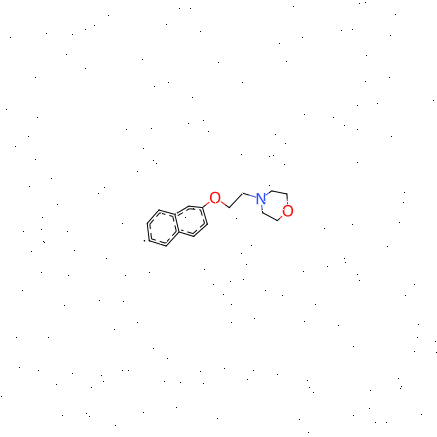 [c]1ccc2cc(OCCN3CCOCC3)ccc2c1